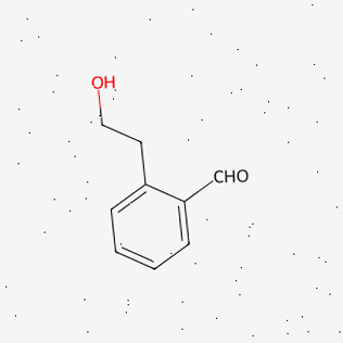 O=Cc1ccccc1CCO